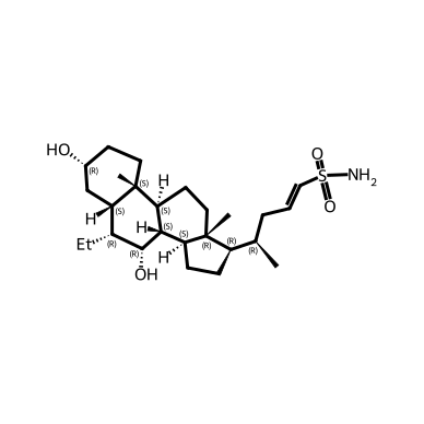 CC[C@H]1[C@@H](O)[C@@H]2[C@H](CC[C@]3(C)[C@@H]([C@H](C)CC=CS(N)(=O)=O)CC[C@@H]23)[C@@]2(C)CC[C@@H](O)C[C@@H]12